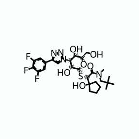 CN(CC(C)(C)C)C(=O)[C@@H](S[C@@H]1O[C@H](CO)[C@H](O)[C@H](n2cc(-c3cc(F)c(F)c(F)c3)nn2)[C@H]1O)C1(O)CCCC1